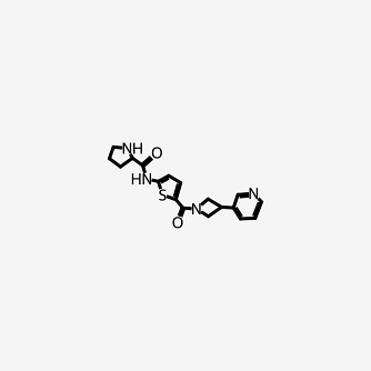 O=C(Nc1ccc(C(=O)N2CC(c3cccnc3)C2)s1)C1CCCN1